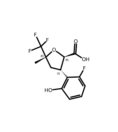 C[C@]1(C(F)(F)F)C[C@@H](c2c(O)cccc2F)[C@H](C(=O)O)O1